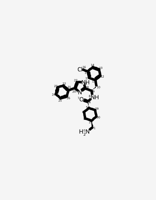 NC[C@H]1CC[C@H](C(=O)N[C@@H](Cc2cccc(Cl)c2)c2nc(-c3ccccc3)c[nH]2)CC1